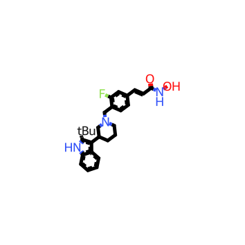 CC(C)(C)c1[nH]c2ccccc2c1C1CCCN(Cc2ccc(C=CC(=O)NO)cc2F)C1